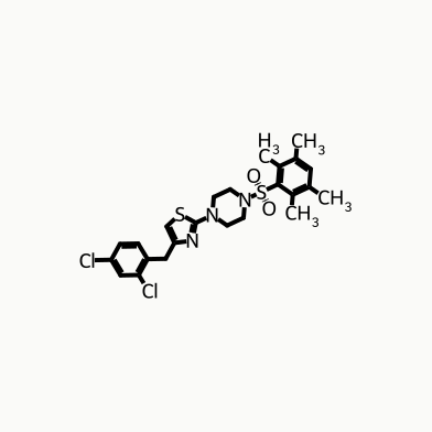 Cc1cc(C)c(C)c(S(=O)(=O)N2CCN(c3nc(Cc4ccc(Cl)cc4Cl)cs3)CC2)c1C